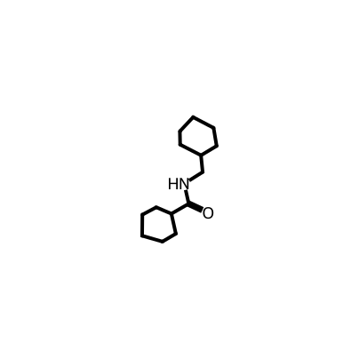 O=C(NCC1CCCCC1)C1CCCCC1